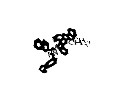 CC1(C)c2ccccc2-c2cc3c4c(c5c(cc4c21)c1ccccc1n5-c1cc(-c2ccc4ccccc4c2)nc(-c2ccc4ccccc4c2)n1)CC=C3